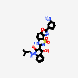 CC(C)CNn1c(=O)c(C2=NS(=O)(=O)c3c(ccc4oc(-c5cccc(N)c5)nc34)N2)c(O)c2ccccc21